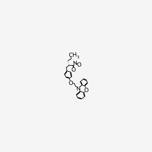 CCC[C@@H](Cc1ccc(OCCN2c3ccccc3Oc3ccccc32)cc1)C(=O)N=O